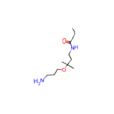 CCC(=O)NCCC(C)(C)OCCCN